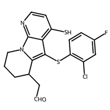 O=CCC1CCCn2c1c(Sc1ccc(F)cc1Cl)c1c(S)ccnc12